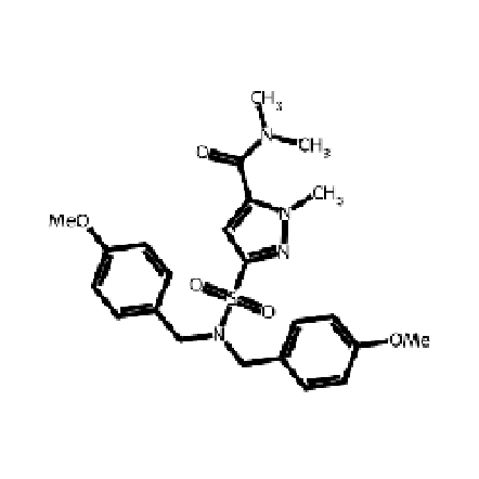 COc1ccc(CN(Cc2ccc(OC)cc2)S(=O)(=O)c2cc(C(=O)N(C)C)n(C)n2)cc1